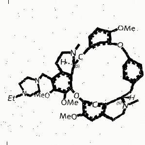 CCN1CCN(Cc2c3c4c(c(OC)c2OC)Oc2cc5c(cc2OC)CCN(C)[C@H]5Cc2ccc(cc2)Oc2cc(ccc2OC)C[C@@H]4N(C)CC3)CC1